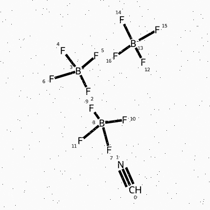 C#N.F[B-](F)(F)F.F[B-](F)(F)F.F[B-](F)(F)F